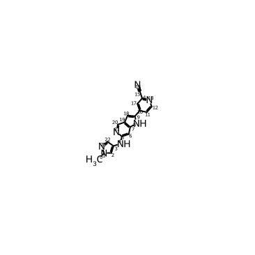 Cn1cc(Nc2cc3[nH]c(-c4ccnc(C#N)c4)cc3cn2)cn1